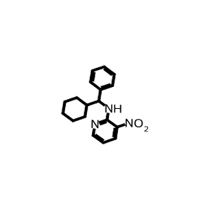 O=[N+]([O-])c1cccnc1NC(c1ccccc1)C1CCCCC1